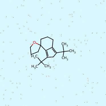 CC(C)(C)C1=C2CCCC3(CCCO3)C2=C(C(C)(C)C)C1